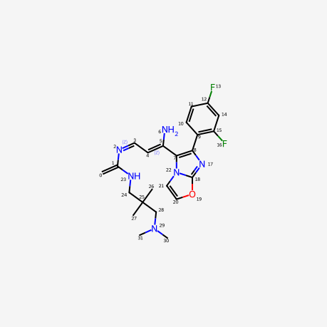 C=C(/N=C\C=C(/N)c1c(-c2ccc(F)cc2F)nc2occn12)NCC(C)(C)CN(C)C